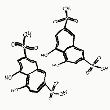 O=S(=O)(O)c1cc(O)c2c(O)cc(S(=O)(=O)O)cc2c1.O=S(=O)(O)c1cc(O)c2c(O)cc(S(=O)(=O)O)cc2c1